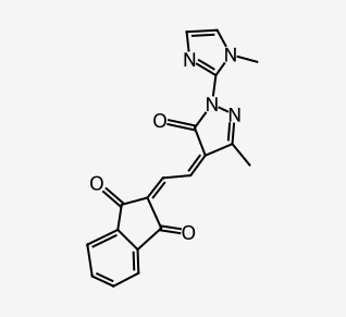 CC1=NN(c2nccn2C)C(=O)C1=CC=C1C(=O)c2ccccc2C1=O